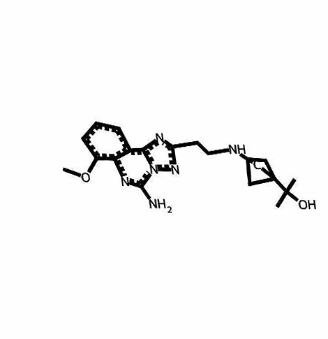 COc1cccc2c1nc(N)n1nc(CCNC34CC(C(C)(C)O)(C3)C4)nc21